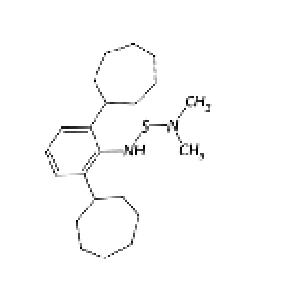 CN(C)SNc1c(C2CCCCCC2)cccc1C1CCCCCC1